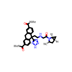 CNC(=O)c1ccc2c(c1)Cc1cc(C(=O)NC)ccc1C2(CCNCC(=O)N1[C@H](C#N)C[C@@H]2C[C@@H]21)c1nn[nH]n1